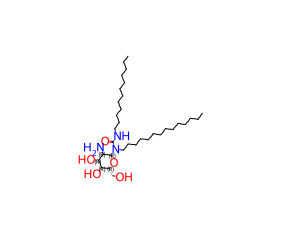 CCCCCCCCCCCCCCN(C(=O)NCCCCCCCCCCCC)[C@@H]1O[C@H](CO)[C@H](O)[C@H](O)[C@H]1N